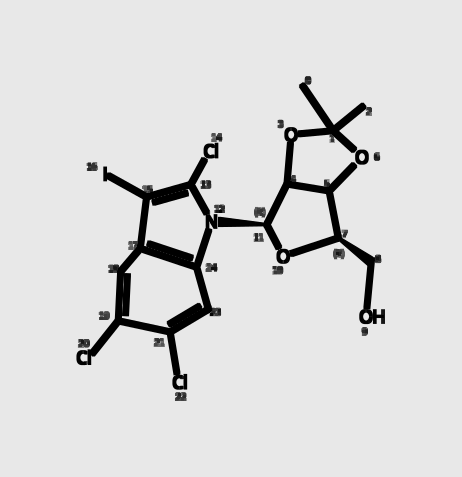 CC1(C)OC2C(O1)[C@@H](CO)O[C@H]2n1c(Cl)c(I)c2cc(Cl)c(Cl)cc21